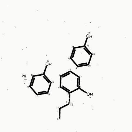 CCPc1ccccc1O.I.Oc1ccccc1.Oc1ccccc1